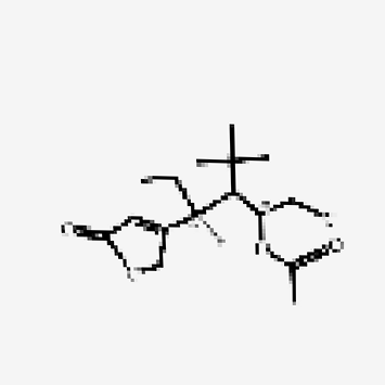 CC[C@](C)(C1=CC(=O)OC1)C([C@@H](CCl)OC(C)=O)C(C)(C)C